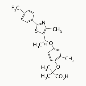 Cc1cc(O[C@H](C)c2sc(-c3ccc(C(F)(F)F)cc3)nc2C)ccc1OC(C)(C)C(=O)O